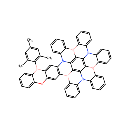 Cc1cc(C)c(B2c3ccccc3Oc3cc4c(cc32)N2c3ccccc3B3c5ccccc5N5c6ccccc6B6c7ccccc7N7c8ccccc8B4c4c7c6c5c3c42)c(C)c1